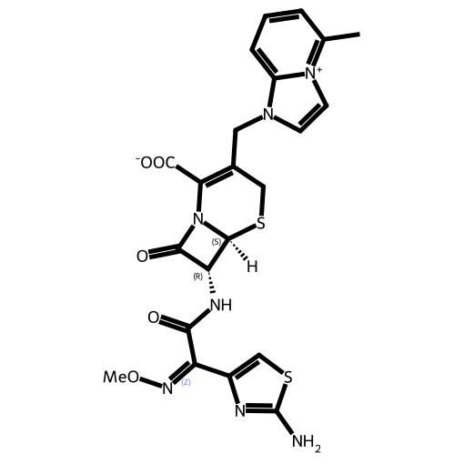 CO/N=C(\C(=O)N[C@@H]1C(=O)N2C(C(=O)[O-])=C(Cn3cc[n+]4c(C)cccc34)CS[C@@H]12)c1csc(N)n1